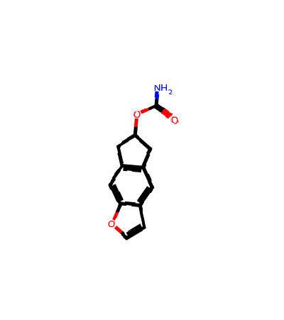 NC(=O)OC1Cc2cc3ccoc3cc2C1